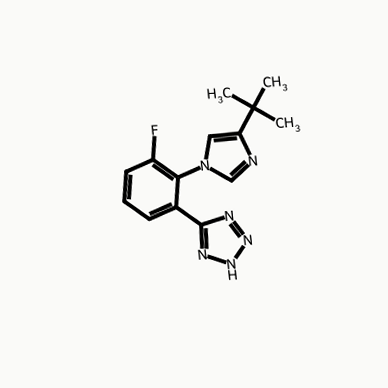 CC(C)(C)c1cn(-c2c(F)cccc2-c2nn[nH]n2)cn1